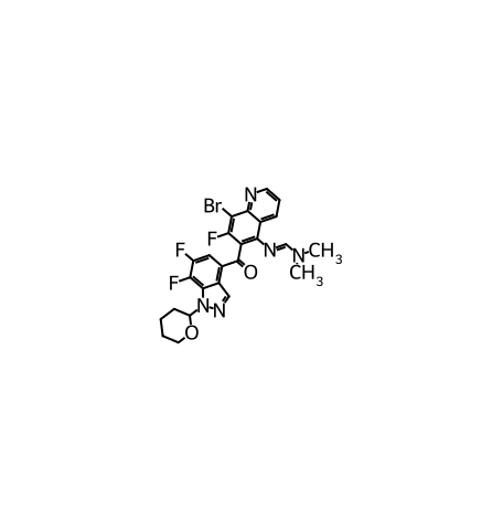 CN(C)C=Nc1c(C(=O)c2cc(F)c(F)c3c2cnn3C2CCCCO2)c(F)c(Br)c2ncccc12